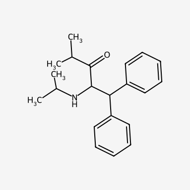 CC(C)NC(C(=O)C(C)C)C(c1ccccc1)c1ccccc1